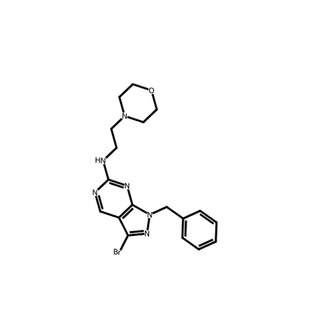 Brc1nn(Cc2ccccc2)c2nc(NCCN3CCOCC3)ncc12